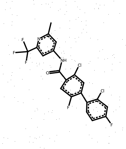 Cc1cc(NC(=O)c2cc(F)c(-c3ccc(F)cc3Cl)cc2Cl)cc(C(F)(F)F)n1